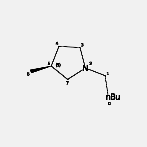 CCCCCN1CC[C@H](C)C1